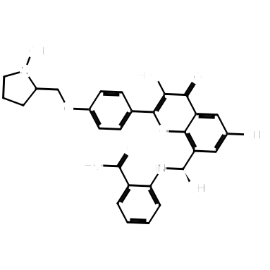 Cc1cc([C@@H](C)Nc2ccccc2C(=O)O)c2oc(-c3ccc(OCC4CCCN4C)cc3)c(C)c(=O)c2c1